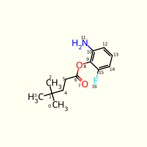 CC(C)(C)CCC(=O)Oc1c(N)cccc1F